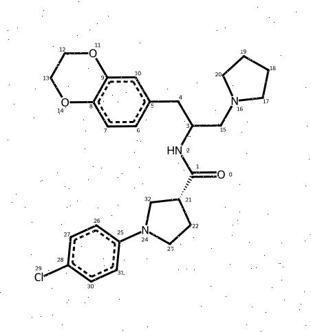 O=C(NC(Cc1ccc2c(c1)OCCO2)CN1CCCC1)[C@@H]1CCN(c2ccc(Cl)cc2)C1